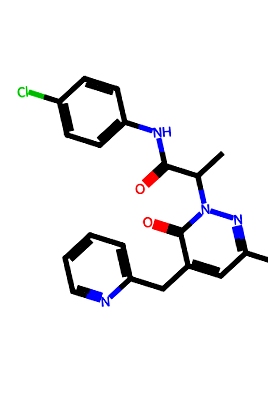 Cc1cc(Cc2ccccn2)c(=O)n(C(C)C(=O)Nc2ccc(Cl)cc2)n1